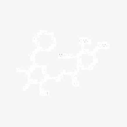 COc1ccc(C(=O)C=Cc2cc(OC3CCCCO3)c(C)c(C)c2O)c(OC)c1OC